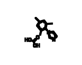 Cc1cc(C)c(-n2ccnc2)c(C)c1.O=C(O)O